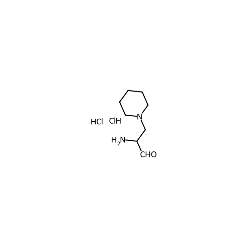 Cl.Cl.NC(C=O)CN1CCCCC1